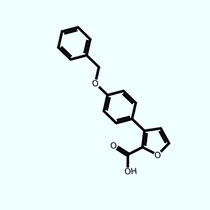 O=C(O)c1occc1-c1ccc(OCc2ccccc2)cc1